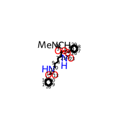 CNC(C)OC(=O)C(CCCCNC(=O)Oc1ccccc1)NC(=O)Oc1ccccc1